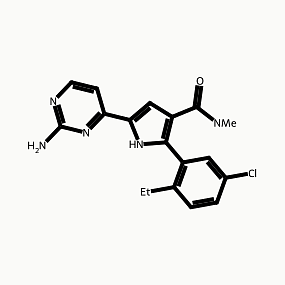 CCc1ccc(Cl)cc1-c1[nH]c(-c2ccnc(N)n2)cc1C(=O)NC